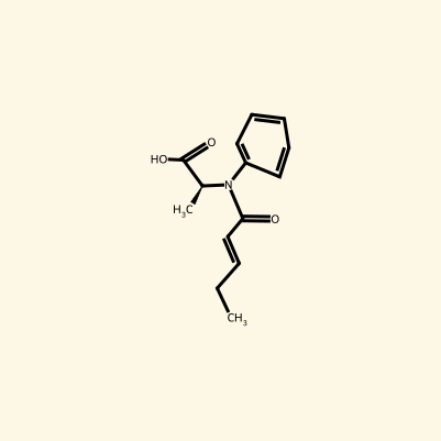 CCC=CC(=O)N(c1ccccc1)[C@@H](C)C(=O)O